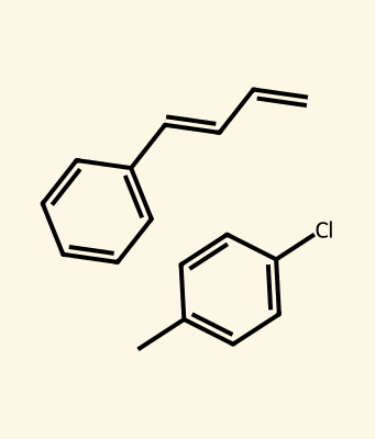 C=CC=Cc1ccccc1.Cc1ccc(Cl)cc1